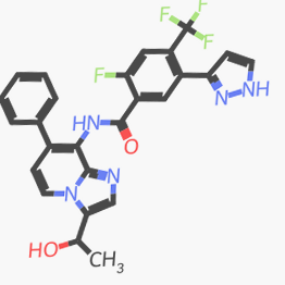 CC(O)c1cnc2c(NC(=O)c3cc(-c4cc[nH]n4)c(C(F)(F)F)cc3F)c(-c3ccccc3)ccn12